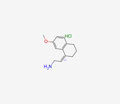 COc1ccc2c(c1)/C(=C\CN)CCC2.Cl